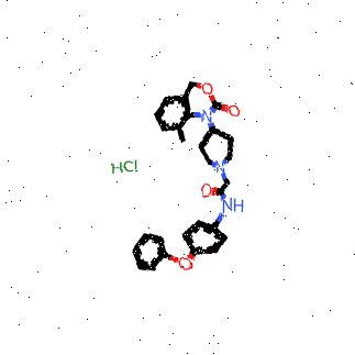 Cc1cccc2c1N(C1CCN(CC(=O)Nc3ccc(Oc4ccccc4)cc3)CC1)C(=O)OC2.Cl